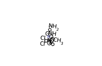 CCOC(=O)c1c(/C=C/C(=O)Nc2ccc(CN)cc2)c2c(Cl)cc(Cl)cc2n1S(=O)(=O)c1ccccc1